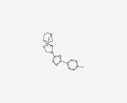 Cc1ccc(-c2ccc(N3CO[C@]4(CN5CCC4CC5)C3)s2)cc1